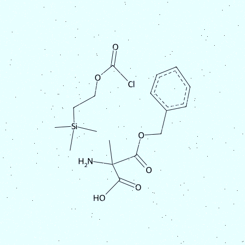 CC(N)(C(=O)O)C(=O)OCc1ccccc1.C[Si](C)(C)CCOC(=O)Cl